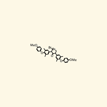 COc1ccc(Oc2c(C)cc(C(CBr)C(=O)C(CBr)c3cc(C)c(Oc4ccc(OC)cc4)c(C)c3)cc2C)cc1